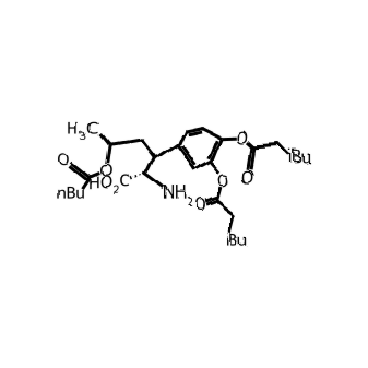 CCCCC(=O)OC(C)CC(c1ccc(OC(=O)CC(C)CC)c(OC(=O)CC(C)CC)c1)[C@H](N)C(=O)O